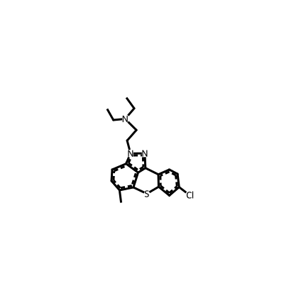 CCN(CC)CCn1nc2c3c(c(C)ccc31)Sc1cc(Cl)ccc1-2